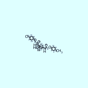 Cc1ccc(OCC(=O)NC23CCC(NC(=O)COc4ccc(Cl)cc4)(CC2)[C@@H](O)C3)cc1